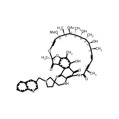 CO[C@H]1/C=C/O[C@@]2(C)Oc3c(C)c(O)c4c(c3C2=O)C2=NC3(CCN(Cc5cnc6ccccc6c5)C3)CNC2=C(NC(=O)/C(C)=C\C=C\[C@H](C)[C@H](O)[C@@H](C)[C@@H](O)[C@@H](C)[C@H](OC(C)=O)[C@@H]1C)C4=O